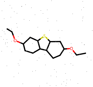 CCOC1CCC2C(C1)SC1CC(OCC)CCC12